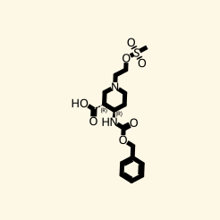 CS(=O)(=O)OCCN1CC[C@@H](NC(=O)OCc2ccccc2)[C@H](C(=O)O)C1